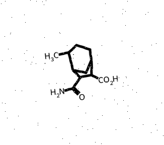 CC1CCC2CC1C(C(N)=O)C2C(=O)O